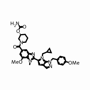 COc1ccc(Cn2ncc3cc(-c4nc5cc(C(=O)N6CCC[C@@H](OC(N)=O)C6)cc(OC)c5n4C)n(CC4CC4)c32)cc1